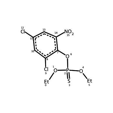 CCOP(=S)(OCC)Oc1c(Cl)cc(Cl)cc1[N+](=O)[O-]